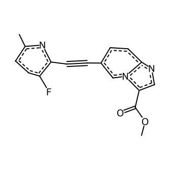 COC(=O)c1cnc2ccc(C#Cc3nc(C)ccc3F)cn12